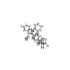 Cc1ccc2c(c1)c(C#N)c(-c1ncc(S(=O)(=O)NC(C)C)cn1)n2C1CCCCC1